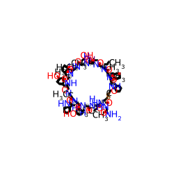 CCCC[C@H]1C(=O)N2CC[C@@H]2C(=O)N[C@@H](CC(O)=P)C(=O)N[C@@H](C(C)C)C(=O)N(C)[C@@H](Cc2ccccc2)C(=O)N[C@@H](Cc2ccc(O)cc2)C(=O)N(C)CC(=O)N[C@@H](Cc2c[nH]c3ccccc23)C(=O)N[C@@H](Cc2ccc(O)cc2)C(=O)N[C@@H](CC(C)C)C(=O)N[C@H](C(=O)NCC(N)=O)CSCC(=O)N[C@@H](Cc2ccccc2)C(=O)N(C)[C@@H](Cc2ccccc2)C(=O)N1C